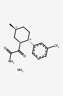 C[C@H]1CC[C@H](c2cncc(C(F)(F)F)c2)N(C(=O)C(N)=O)C1.N